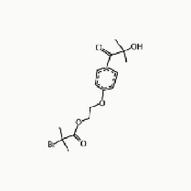 CC(C)(O)C(=O)c1ccc(OCCOC(=O)C(C)(C)Br)cc1